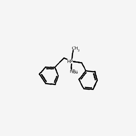 CCCC[PH](C)(Cc1ccccc1)Cc1ccccc1